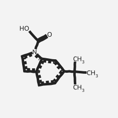 CC(C)(C)c1ccc2ccn(C(=O)O)c2c1